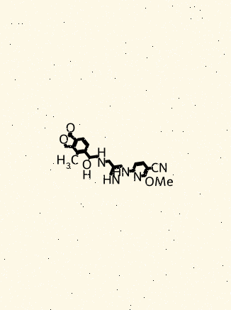 COc1nc(N/C=C(\C=N)CNC[C@H](O)c2ccc3c(c2C)COC3=O)ccc1C#N